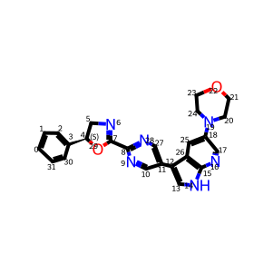 c1ccc([C@H]2CN=C(c3ncc(-c4c[nH]c5ncc(N6CCOCC6)cc45)cn3)O2)cc1